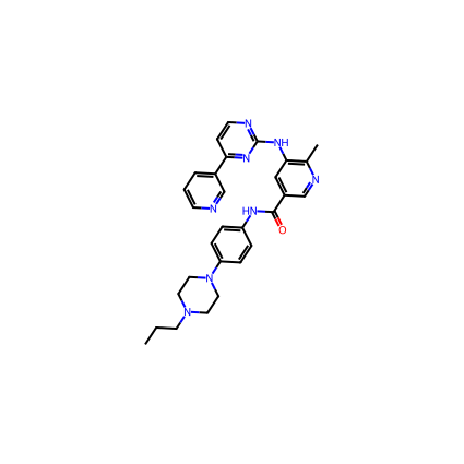 CCCN1CCN(c2ccc(NC(=O)c3cnc(C)c(Nc4nccc(-c5cccnc5)n4)c3)cc2)CC1